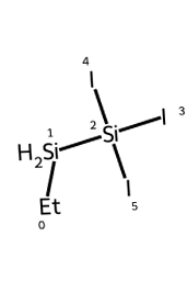 CC[SiH2][Si](I)(I)I